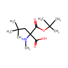 CNC(CC(C)(C)C)(C(=O)O)C(=O)OC(C)(C)C